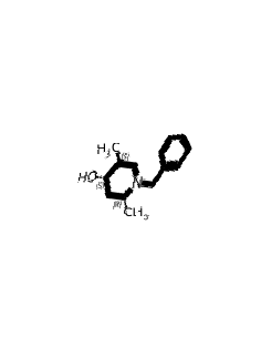 C[C@@H]1C[C@H](O)[C@@H](C)CN1Cc1ccccc1